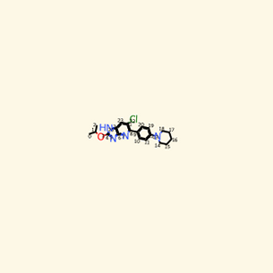 CC(C)Oc1nc2nc(-c3ccc(N4CCCCC4)cc3)c(Cl)cc2[nH]1